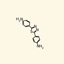 Nc1ccc(-c2nnc(-c3ccc(N)cc3)s2)cc1